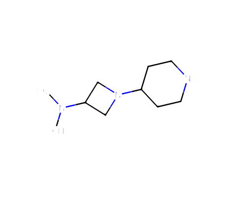 CN(C)C1CN(C2CC[N]CC2)C1